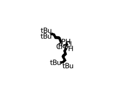 CC(C)(C)C(CC=CC[PH][Pd]([Cl])([Cl])[PH]CC=CCC(C(C)(C)C)C(C)(C)C)C(C)(C)C